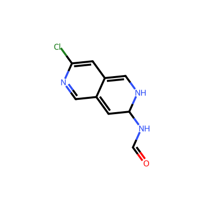 O=CNC1C=c2cnc(Cl)cc2=CN1